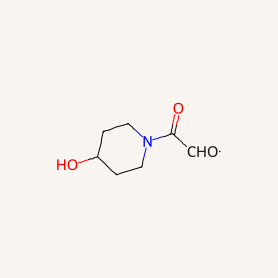 O=[C]C(=O)N1CCC(O)CC1